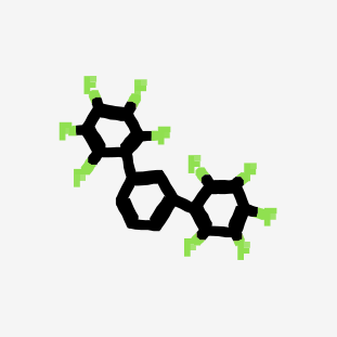 Fc1c(F)c(F)c(-c2cccc(-c3c(F)c(F)c(F)c(F)c3F)c2)c(F)c1F